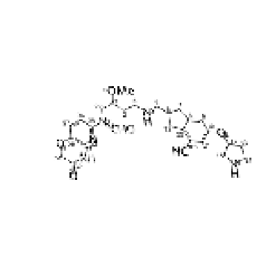 COC(CCNCC1Cc2cc(OC3CCNC3)cc(C#N)c2C1)CN(C=O)c1ccc2c(n1)NC(=O)CO2